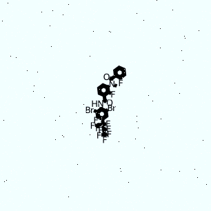 CN(C(=O)c1ccccc1F)c1cccc(C(=O)Nc2c(Br)cc(C(F)(C(F)(F)F)C(F)(F)C(F)(F)F)cc2Br)c1F